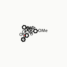 COc1ccc(S(=O)(=O)N2C(=O)C(OC(=O)Oc3ccccc3)(c3ccccc3OC)c3cc(Cl)ccc32)c(OC)c1